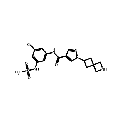 CS(=O)(=O)Nc1cc(Cl)cc(NC(=O)c2cnn(C3CC4(CNC4)C3)c2)c1